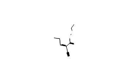 CCC=C(C#N)C(=O)OOCC